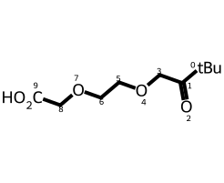 CC(C)(C)C(=O)COCCOCC(=O)O